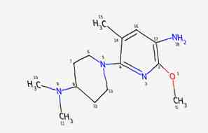 COc1nc(N2CCC(N(C)C)CC2)c(C)cc1N